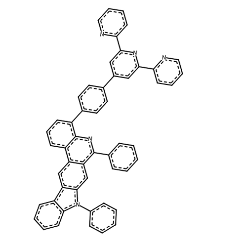 c1ccc(-c2nc3c(-c4ccc(-c5cc(-c6ccccn6)nc(-c6ccccn6)c5)cc4)cccc3c3cc4c5ccccc5n(-c5ccccc5)c4cc23)cc1